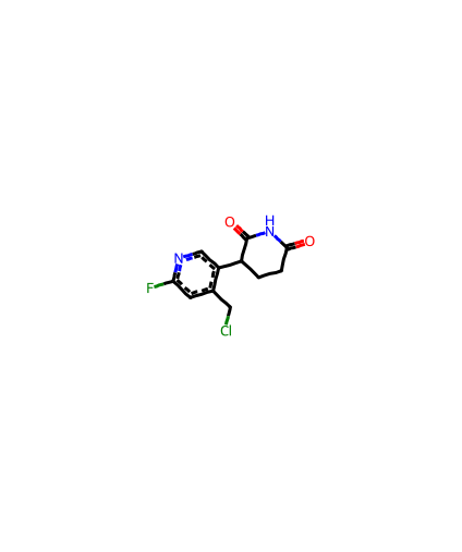 O=C1CCC(c2cnc(F)cc2CCl)C(=O)N1